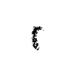 CC(=O)N1CCN(c2ccc(CCc3ccc(C(=O)NN)s3)nc2)CC1